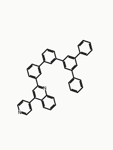 c1ccc(-c2cc(-c3ccccc3)cc(-c3cccc(-c4cccc(-c5cc(-c6ccncc6)c6ccccc6n5)c4)c3)c2)cc1